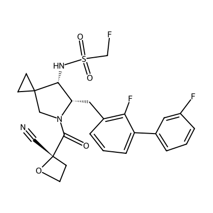 N#C[C@@]1(C(=O)N2CC3(CC3)[C@H](NS(=O)(=O)CF)[C@@H]2Cc2cccc(-c3cccc(F)c3)c2F)CCO1